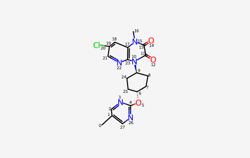 Cc1cnc(O[C@H]2CC[C@H](n3c(=O)c(=O)n(C)c4cc(Cl)cnc43)CC2)nc1